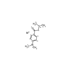 CN(C)c1ccc(C(=O)C[S+](C)C)cc1.[Br-]